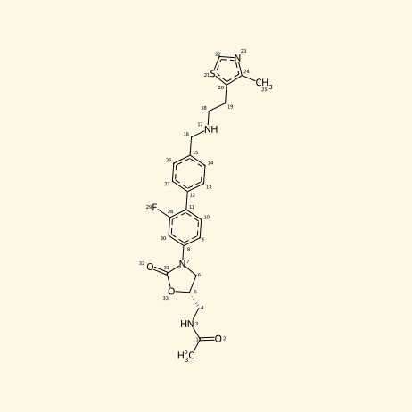 CC(=O)NC[C@H]1CN(c2ccc(-c3ccc(CNCCc4scnc4C)cc3)c(F)c2)C(=O)O1